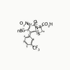 CCCCc1c(-c2cccc(C(F)(F)F)c2)c2n(c(=O)c1[N+](=O)[O-])[C@H](C(=O)O)CS2